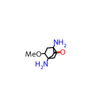 COC1CC2(N)CCC1(N)CC2=O